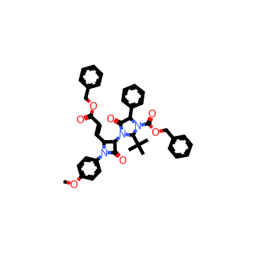 COc1ccc(N2C(=O)C(N3C(=O)C(c4ccccc4)N(C(=O)OCc4ccccc4)C3C(C)(C)C)C2C=CC(=O)OCc2ccccc2)cc1